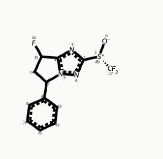 [O-][S@@+](c1nc2n(n1)C(c1ccccc1)CC2F)C(F)(F)F